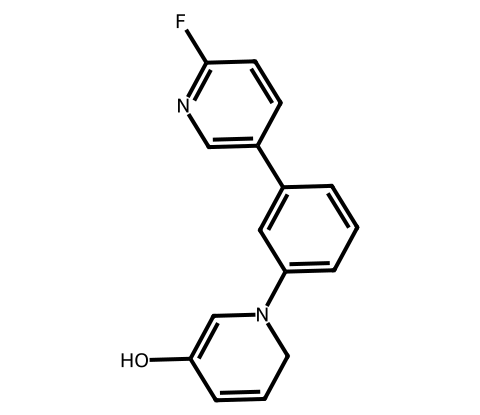 OC1=CN(c2cccc(-c3ccc(F)nc3)c2)CC=C1